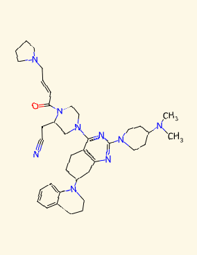 CN(C)C1CCN(c2nc3c(c(N4CCN(C(=O)C=CCN5CCCC5)C(CC#N)C4)n2)CCC(N2CCCc4ccccc42)C3)CC1